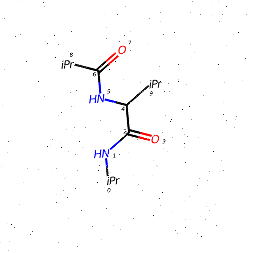 CC(C)NC(=O)C(NC(=O)C(C)C)C(C)C